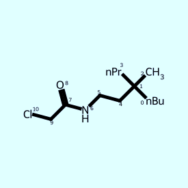 CCCCC(C)(CCC)CCNC(=O)CCl